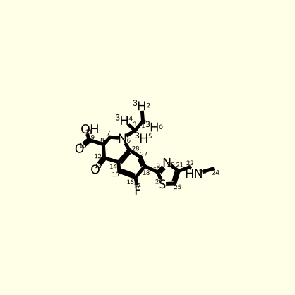 [3H]C([3H])C([3H])([3H])N1CC(C(=O)O)C(=O)c2cc(F)c(-c3nc(CNC)cs3)cc21